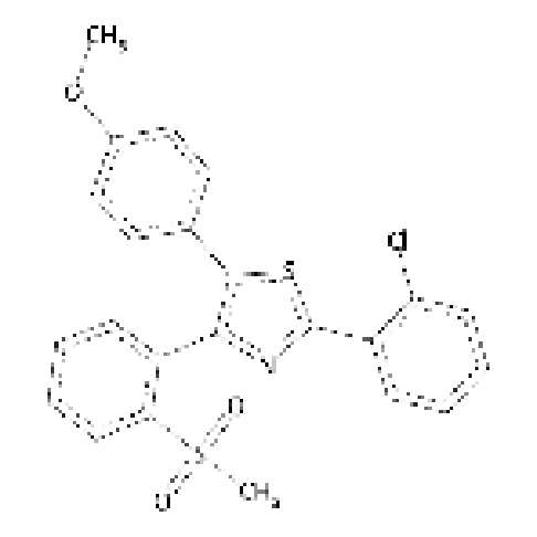 COc1ccc(-c2sc(-c3ccccc3Cl)nc2-c2ccccc2S(C)(=O)=O)cc1